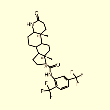 C[C@]12CCC(=O)NC1CCC1C2CC[C@@]2(C)C1CC[C@@H]2C(=O)Nc1cc(C(F)(F)F)ccc1C(F)(F)F